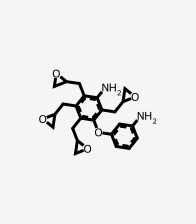 Nc1cccc(Oc2c(CC3CO3)c(N)c(CC3CO3)c(CC3CO3)c2CC2CO2)c1